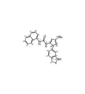 CC(C)(C)c1cc(NC(=O)Nc2cccc3ccccc23)n(-c2ccc3c(c2)NCC3)n1